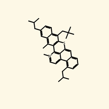 Cc1c2c(c(CC(C)(C)C)c3ccc(CC(C)C)cc13)Sc1cc3cccc(CC(C)C)c3c3cc[n+](C)c-2c13